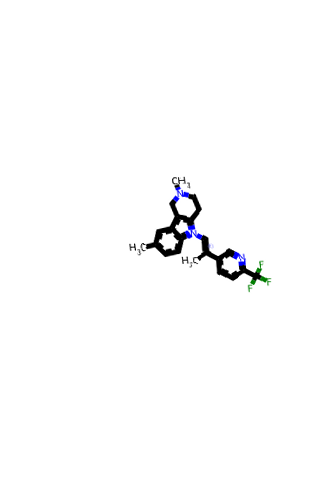 C/C(=C\n1c2c(c3cc(C)ccc31)CN(C)CC2)c1ccc(C(F)(F)F)nc1